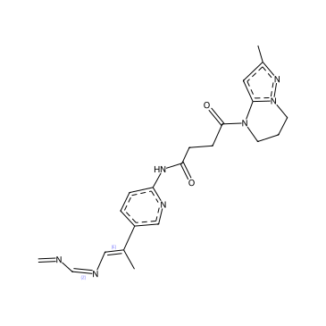 C=N/C=N\C=C(/C)c1ccc(NC(=O)CCC(=O)N2CCCn3nc(C)cc32)nc1